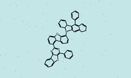 C1=CC2c3c(cc4c(c3-c3ccccc3)C=CCC4)N(c3cccc4c3oc3cccc(-c5nc(-c6ccccc6)c6sc7ccccc7c6n5)c34)C2C=C1